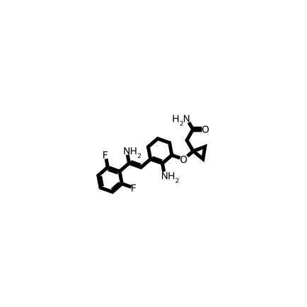 NC(=O)CC1(OC2CCCC(/C=C(\N)c3c(F)cccc3F)=C2N)CC1